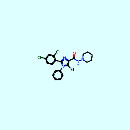 CCc1c(C(=O)NN2CCCCC2)nc(-c2ccc(Cl)cc2Cl)n1-c1ccccc1